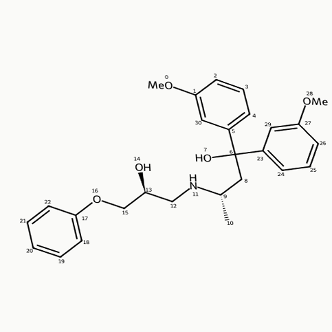 COc1cccc(C(O)(C[C@H](C)NC[C@H](O)COc2ccccc2)c2cccc(OC)c2)c1